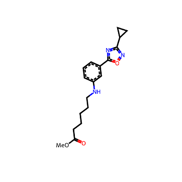 COC(=O)CCCCCNc1cccc(-c2nc(C3CC3)no2)c1